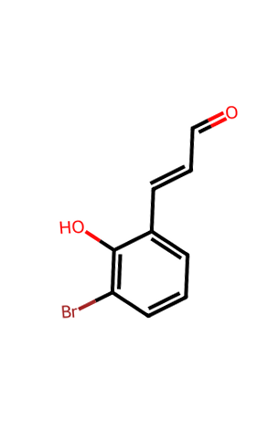 O=CC=Cc1cccc(Br)c1O